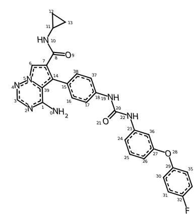 Nc1ncnn2cc(C(=O)NC3CC3)c(-c3ccc(NC(=O)Nc4cccc(Oc5ccc(F)cc5)c4)cc3)c12